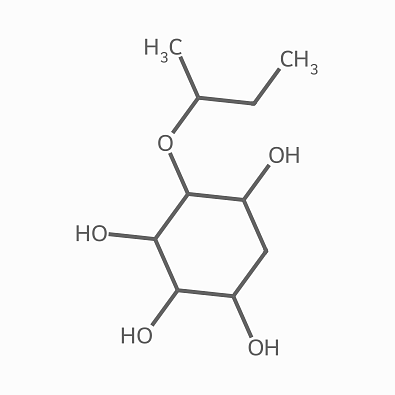 CCC(C)OC1C(O)CC(O)C(O)C1O